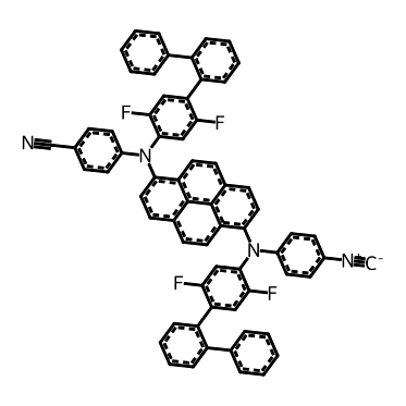 [C-]#[N+]c1ccc(N(c2cc(F)c(-c3ccccc3-c3ccccc3)cc2F)c2ccc3ccc4c(N(c5ccc(C#N)cc5)c5cc(F)c(-c6ccccc6-c6ccccc6)cc5F)ccc5ccc2c3c54)cc1